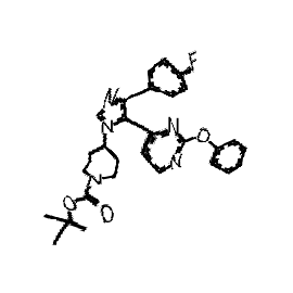 CC(C)(C)OC(=O)N1CCC(n2cnc(-c3ccc(F)cc3)c2-c2ccnc(Oc3ccccc3)n2)CC1